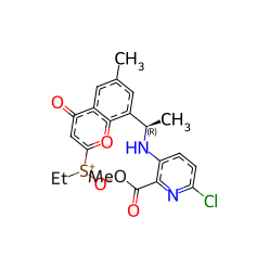 CC[S+]([O-])c1cc(=O)c2cc(C)cc([C@@H](C)Nc3ccc(Cl)nc3C(=O)OC)c2o1